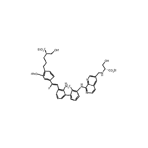 CCOC(=O)[C@@H](CO)CCCc1ccc(/C(F)=C/c2cccc(-c3cccc(Nc4nccc5cc(CN[C@H](CO)C(=O)OCC)cnc45)c3C)c2C)cc1OC